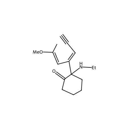 C#C/C=C(\C=C(/C)OC)C1(NCC)CCCCC1=O